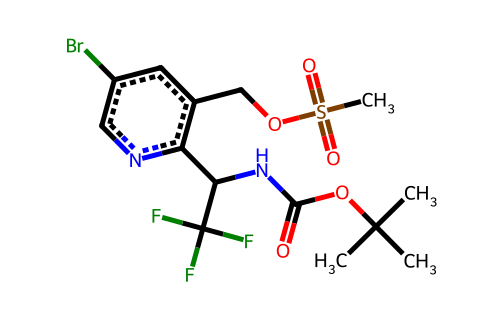 CC(C)(C)OC(=O)NC(c1ncc(Br)cc1COS(C)(=O)=O)C(F)(F)F